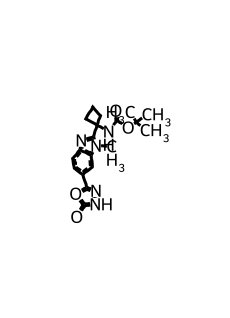 Cn1c(C2(NC(=O)OC(C)(C)C)CCC2)nc2ccc(-c3n[nH]c(=O)o3)cc21